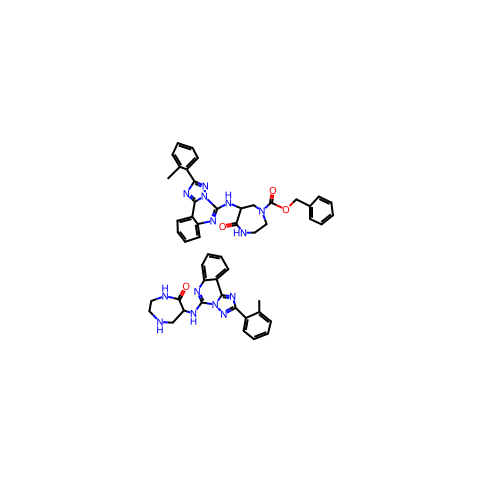 Cc1ccccc1-c1nc2c3ccccc3nc(NC3CN(C(=O)OCc4ccccc4)CCNC3=O)n2n1.Cc1ccccc1-c1nc2c3ccccc3nc(NC3CNCCNC3=O)n2n1